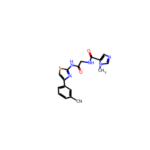 Cn1cncc1C(=O)NCC(=O)Nc1nc(-c2cccc(C#N)c2)cs1